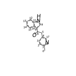 Cc1ccc(CC(=O)c2c[nH]c3ccccc23)cn1